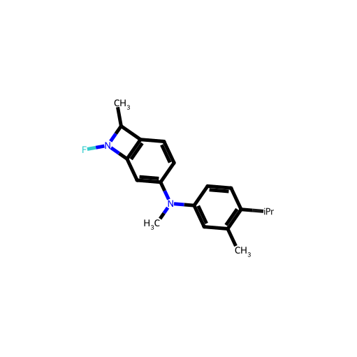 Cc1cc(N(C)c2ccc3c(c2)N(F)C3C)ccc1C(C)C